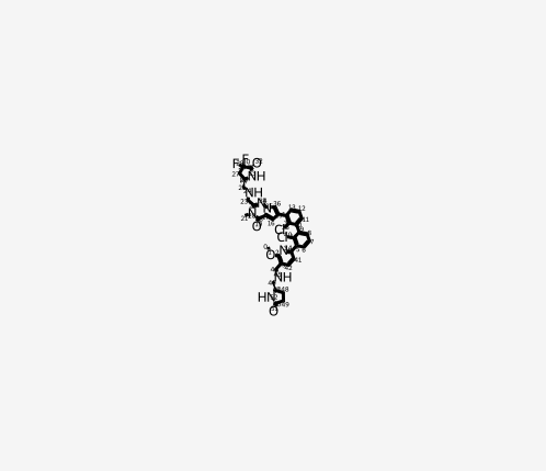 COc1nc(-c2cccc(-c3cccc(-c4cc5c(=O)n(C)c(CNC[C@H]6CC(F)(F)C(=O)N6)nn5c4)c3Cl)c2Cl)ccc1CNC[C@H]1CCC(=O)N1